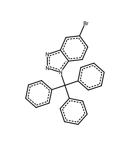 Brc1ccc2c(c1)nnn2C(c1ccccc1)(c1ccccc1)c1ccccc1